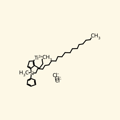 CCCCCCCCCCCCCCCCCC[Si](C)(C1=CC[C]([Ti+3])=C1CCCC)c1ccccc1.[Cl-].[Cl-].[Cl-]